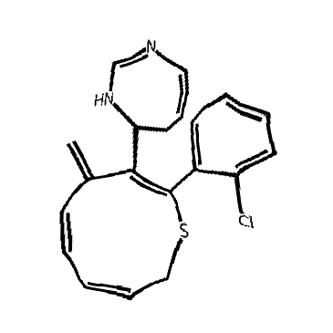 C=C1/C=C\C=C/CS/C(c2ccccc2Cl)=C\1C1C=CN=CN1